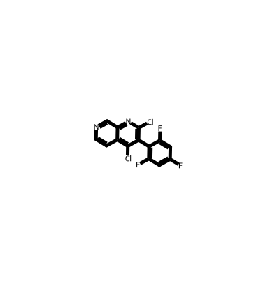 Fc1cc(F)c(-c2c(Cl)nc3cnccc3c2Cl)c(F)c1